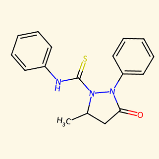 CC1CC(=O)N(c2ccccc2)N1C(=S)Nc1ccccc1